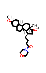 COc1ccc2c(c1)CC[C@H]1[C@@H]3[C@H](CCCC(=O)N4CCOCC4)CC(=O)[C@@]3(C)CC[C@H]21